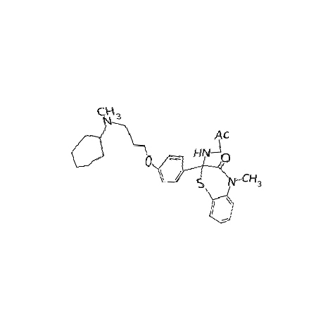 CC(=O)CNC1(c2ccc(OCCCN(C)C3CCCCC3)cc2)Sc2ccccc2N(C)C1=O